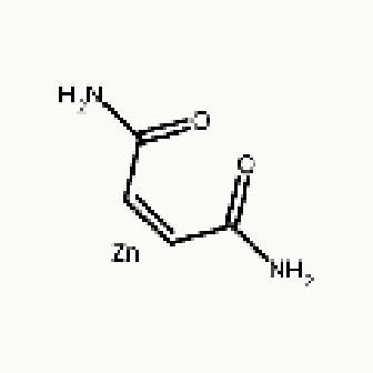 NC(=O)/C=C\C(N)=O.[Zn]